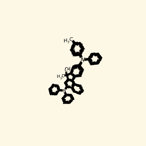 Cc1ccc(N(c2ccccc2)c2ccc3c(c2)C(C)(C)c2cc(N(c4ccccc4)c4ccccc4)c4ccccc4c2-3)cc1